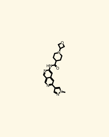 Cn1cc(-c2cc3cc(NC(=O)C4CCN(C5COC5)CC4)ncc3cn2)cn1